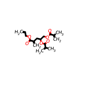 C=CCOC(=O)C(=C)CC(COC(=O)C(=C)C)OC(=O)C(=C)C